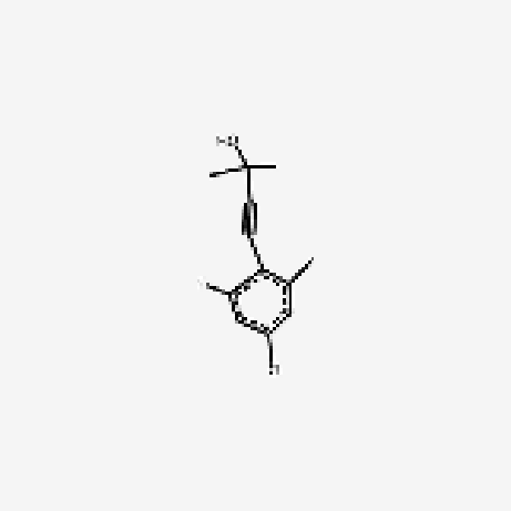 Cc1cc(Cl)cc(F)c1C#CC(C)(C)O